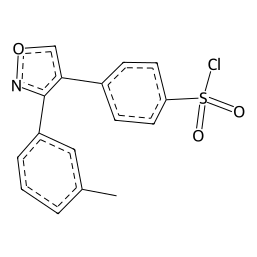 Cc1cccc(-c2nocc2-c2ccc(S(=O)(=O)Cl)cc2)c1